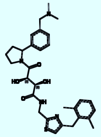 Cc1cccc(C)c1Cc1csc(CNC(=O)[C@H](O)[C@@H](O)C(=O)N2CCCC2c2cccc(CN(C)C)c2)n1